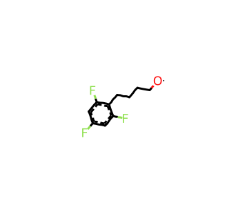 [O]CCCCc1c(F)cc(F)cc1F